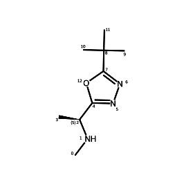 CN[C@@H](C)c1nnc(C(C)(C)C)o1